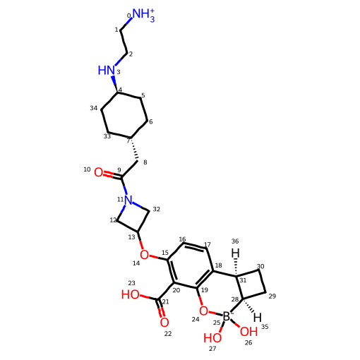 [NH3+]CCN[C@H]1CC[C@H](CC(=O)N2CC(Oc3ccc4c(c3C(=O)O)O[B-](O)(O)[C@@H]3CC[C@H]43)C2)CC1